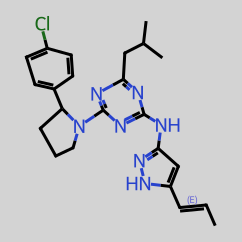 C/C=C/c1cc(Nc2nc(CC(C)C)nc(N3CCCC3c3ccc(Cl)cc3)n2)n[nH]1